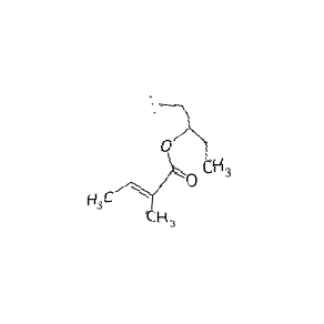 [C]CC(CC)OC(=O)C(C)=CC